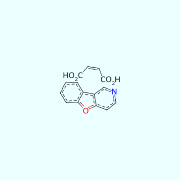 O=C(O)/C=C\C(=O)O.c1ccc2c(c1)oc1ccncc12